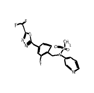 CS(=O)(=O)N(Cc1ccc(-c2nnc(C(F)F)o2)cc1F)c1cccnc1